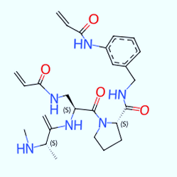 C=CC(=O)NC[C@H](NC(=C)[C@H](C)NC)C(=O)N1CCC[C@H]1C(=O)NCc1cccc(NC(=O)C=C)c1